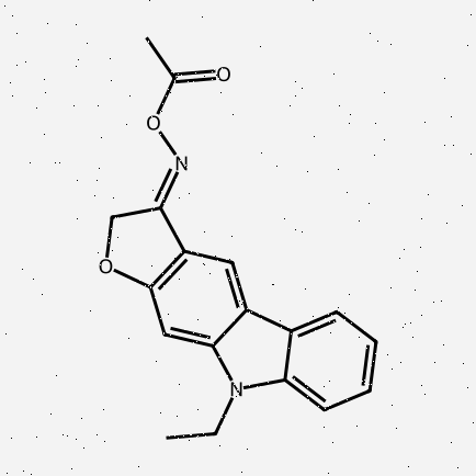 CCn1c2ccccc2c2cc3c(cc21)OC/C3=N\OC(C)=O